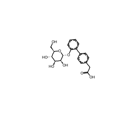 O=C(O)Cc1ccc(-c2ccccc2O[C@H]2O[C@H](CO)[C@@H](O)[C@H](O)[C@@H]2O)cc1